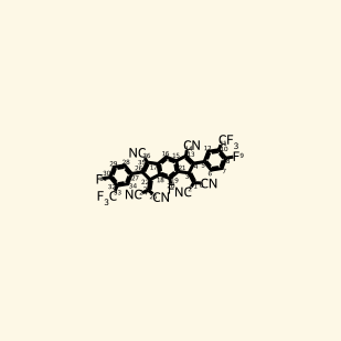 N#CC(C#N)=C1C(c2ccc(F)c(C(F)(F)F)c2)=C(C#N)c2cc3c(c(F)c21)C(=C(C#N)C#N)C(c1ccc(F)c(C(F)(F)F)c1)=C3C#N